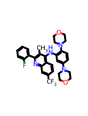 Cc1c(-c2ccccc2F)nc2cc(C(F)(F)F)ccc2c1Nc1cc(N2CCOCC2)ccc1N1CCOCC1